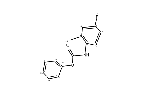 O=C(Nc1ccc(F)cc1F)Oc1ccccc1